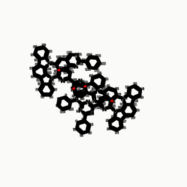 c1ccc(B(c2nc(-c3ccccc3)nc(-c3cccc(-n4c5ccccc5c5ccc6c7ccccc7n(-c7ccc8nc(-c9ccccc9)ncc8c7)c6c54)n3)n2)c2nc(-c3ccccc3)nc(-c3cccc(-n4c5ccccc5c5ccc6c7ccccc7n(-c7ccc8nc(-c9ccccc9)ncc8c7)c6c54)n3)n2)cc1